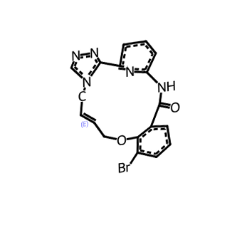 O=C1Nc2cccc(n2)-c2nncn2C/C=C/COc2c(Br)cccc21